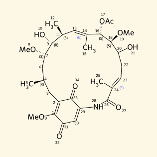 COC1=C2C[C@@H](C)C[C@H](OC)[C@H](O)[C@@H](C)/C=C(\C)[C@H](OC(C)=O)[C@@H](OC)C(O)C/C=C(\C)C(=O)NC(=CC1=O)C2=O